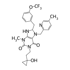 Cc1ccc(CN2c3c(n(C)c(=O)n(CCC4(O)CC4)c3=O)NC2Cc2cccc(OC(F)(F)F)c2)nc1